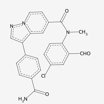 CN(C(=O)c1ccn2ncc(-c3ccc(C(N)=O)cc3)c2c1)c1ccc(Cl)cc1C=O